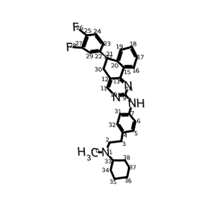 CN(CCc1ccc(Nc2ncc3c(n2)-c2ccccc2[C@H](c2ccc(F)c(F)c2)C3)cc1)C1CCCCC1